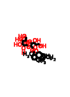 C=C1CC[C@@H]2[C@@H](C)C(CCC3[C@](C)(C(=O)OC4OC(CO)C(O)C(O)C4OC4OC(CO)C(O)C(O)C4O)CCC[C@]32C)C1